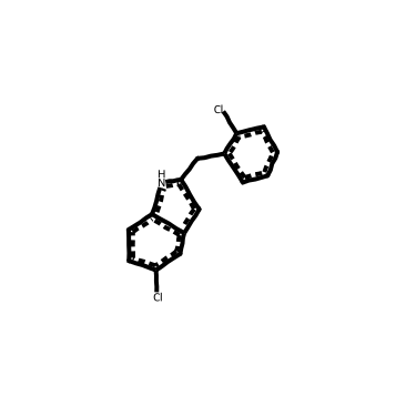 Clc1ccc2[nH]c(Cc3ccccc3Cl)cc2c1